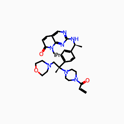 C=CC(=O)N1CCN([C@](C)(CN2CCOCC2)c2ccc([C@H](C)Nc3ncc4ccc(=O)n(C(C)C)c4n3)cc2)CC1